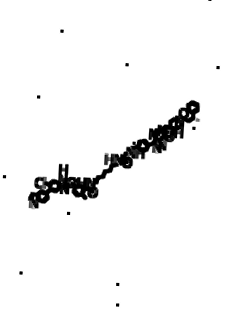 Cc1ccc(Oc2nc3cc(-c4ccc5c(ccn5C)c4)c(Cl)cc3[nH]2)cc1C(=O)NCCCCCCCNC(=O)CNCc1ccc(-c2c3ncn(CC4(O)CCN(C(=O)C[C@@H](C)c5ccccc5)CC4)c(=O)c3nn2C)cc1